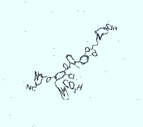 Cc1c(COc2cc(OCc3cncc(C#N)c3)c(CN3CCCCC3C(=O)O)cc2Cl)cccc1-c1ccc2c(c1)OC(CCN1CC[C@H](O)C1)CO2